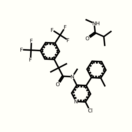 CNC(=O)C(C)C.Cc1ccccc1-c1cc(Cl)ncc1N(C)C(=O)C(C)(C)c1cc(C(F)(F)F)cc(C(F)(F)F)c1